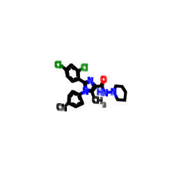 [C-]#[N+]c1ccc(-n2c(-c3ccc(Cl)cc3Cl)nc(C(=O)NN3CCCCC3)c2C)cc1